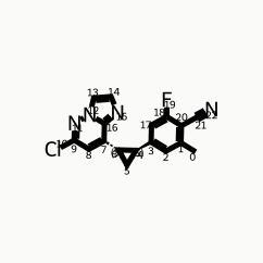 Cc1cc([C@H]2C[C@@H]2c2cc(Cl)nn3ccnc23)cc(F)c1C#N